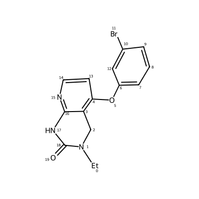 CCN1Cc2c(Oc3cccc(Br)c3)ccnc2NC1=O